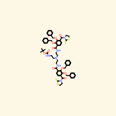 CC(C)(C)OC(=O)NCCN(CCNC(=O)c1ccc(C(=O)N2CCSC2=S)c(OCc2ccccc2)c1OCc1ccccc1)CCNC(=O)c1ccc(C(=O)N2CCSC2=S)c(OCc2ccccc2)c1OCc1ccccc1